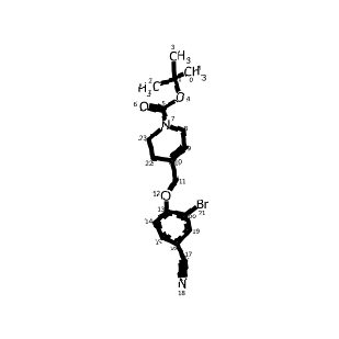 CC(C)(C)OC(=O)N1CC=C(COc2ccc(C#N)cc2Br)CC1